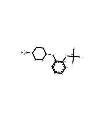 N[C@H]1CC[C@H](Oc2ccccc2OC(F)(F)F)CC1